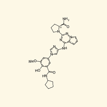 COc1cc(-n2cnc(Nc3nc(N4CCC[C@H]4C(N)=O)nn4cccc34)c2)cc(C(=O)NC2CCCC2)c1O